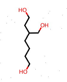 OCCCCC(CO)CCO